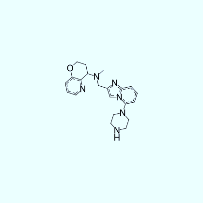 CN(Cc1cn2c(N3CCNCC3)cccc2n1)C1CCOc2cccnc21